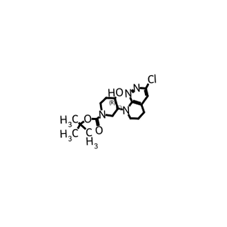 CC(C)(C)OC(=O)N1CC[C@@H](O)[C@@H](N2CCCc3cc(Cl)nnc32)C1